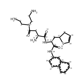 NCCN(CCN)C(=O)C[C@H](N)C(=O)N[C@@H](CC1CC=CS1)C(=O)Nc1cnc2ccccc2c1